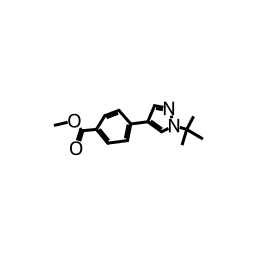 COC(=O)c1ccc(-c2cnn(C(C)(C)C)c2)cc1